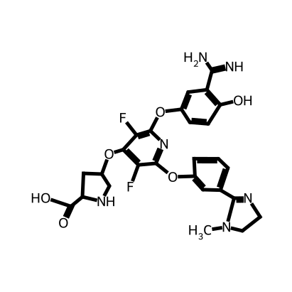 CN1CCN=C1c1cccc(Oc2nc(Oc3ccc(O)c(C(=N)N)c3)c(F)c(OC3CNC(C(=O)O)C3)c2F)c1